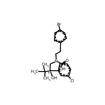 CC(C)(C)[C@](O)(CN(CCc1ccc(Br)cc1)C(=O)O)c1cccc(Cl)c1